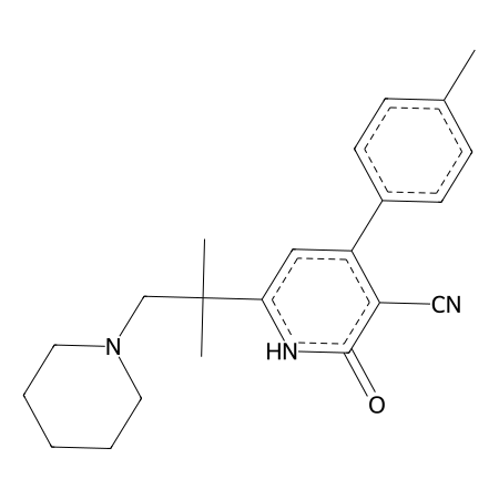 Cc1ccc(-c2cc(C(C)(C)CN3CCCCC3)[nH]c(=O)c2C#N)cc1